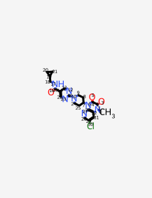 Cn1c(=O)c(=O)n(C2CCN(c3ncc(C(=O)NCC4CC4)cn3)CC2)c2ncc(Cl)cc21